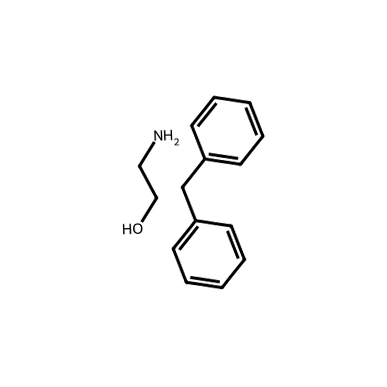 NCCO.c1ccc(Cc2ccccc2)cc1